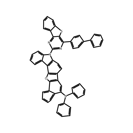 c1ccc(-c2ccc(-c3nc(-n4c5ccccc5c5c6oc7c8ccccc8c(N(c8ccccc8)c8ccccc8)cc7c6ccc54)nc4c3sc3ccccc34)cc2)cc1